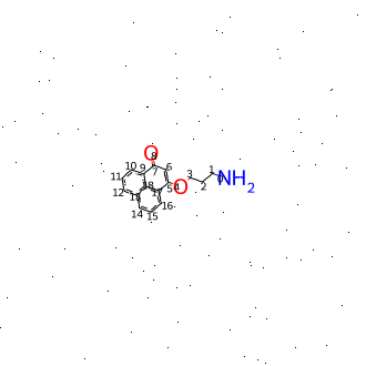 NCCCOC1=CC(=O)c2cccc3cccc1c23